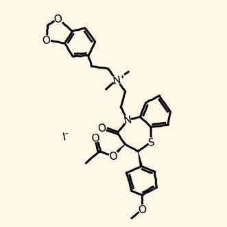 COc1ccc([C@@H]2Sc3ccccc3N(CC[N+](C)(C)CCc3ccc4c(c3)OCO4)C(=O)[C@@H]2OC(C)=O)cc1.[I-]